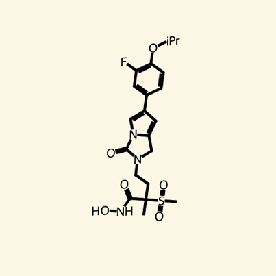 CC(C)Oc1ccc(-c2cc3n(c2)C(=O)N(CCC(C)(C(=O)NO)S(C)(=O)=O)C3)cc1F